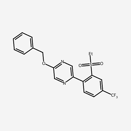 CCS(=O)(=O)c1cc(C(F)(F)F)ccc1-c1cnc(OCc2ccccc2)cn1